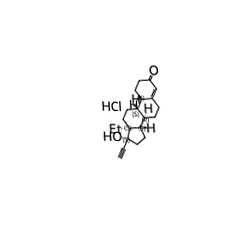 C#C[C@]1(O)CC[C@H]2[C@@H]3CCC4=CC(=O)CC[C@@H]4[C@H]3CC[C@@]21CC.Cl